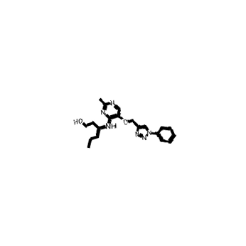 CCCC(CCO)Nc1nc(C)ncc1OCc1cn(-c2ccccc2)nn1